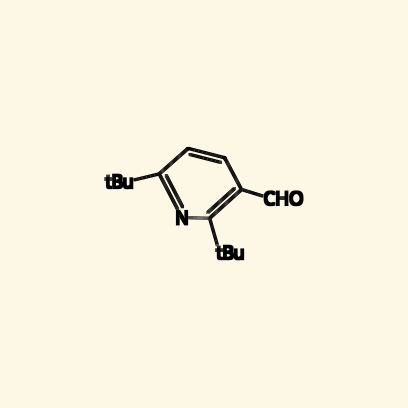 CC(C)(C)c1ccc(C=O)c(C(C)(C)C)n1